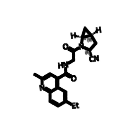 CCc1ccc2nc(C)cc(C(=O)NCC(=O)N3[C@H](C#N)C[C@@H]4C[C@@H]43)c2c1